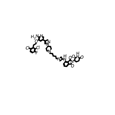 Nc1ncc(-c2cnn(C3CCN(CCCCCN4CC(Nc5cccc6c5C(=O)N([C@@H]5CCC(=O)NC5=O)C6=O)C4)CC3)c2)cc1OCCc1c(Cl)ccc(F)c1Cl